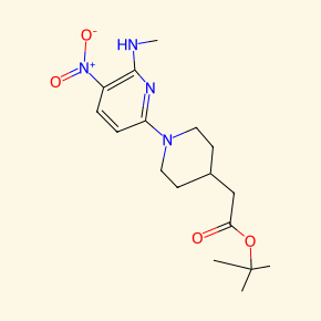 CNc1nc(N2CCC(CC(=O)OC(C)(C)C)CC2)ccc1[N+](=O)[O-]